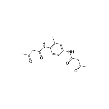 CC(=O)CC(=O)Nc1ccc(NC(=O)CC(C)=O)c(C)c1